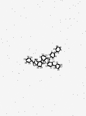 c1ccc(-c2ccc(N(c3cccc(-c4ccccc4)c3)c3cccc4c3oc3ccc5oc(-c6ccccc6)nc5c34)cc2)cc1